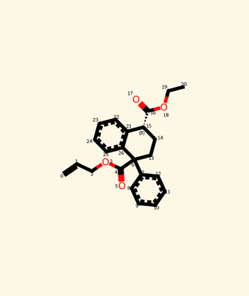 C=CCOC(=O)C1(c2ccccc2)CC[C@@H](C(=O)OCC)c2ccccc21